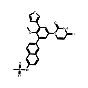 COc1c(-c2ccoc2)cc(-n2ccc(=O)[nH]c2=O)cc1-c1ccc2cc(NS(C)(=O)=O)ccc2c1